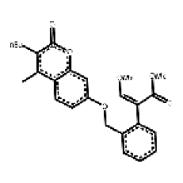 CCCCc1c(C)c2ccc(OCc3ccccc3C(=COC)C(=O)OC)cc2oc1=O